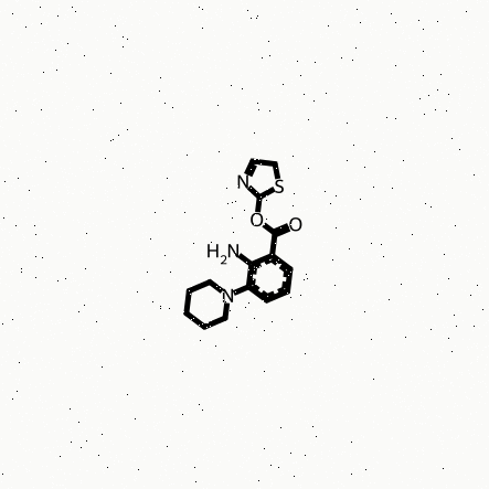 Nc1c(C(=O)OC2N=CCS2)cccc1N1CCCCC1